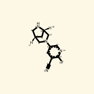 N#Cc1cc(N2C[C@@H]3CN[C@@H](C3)C2)cnc1F